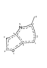 Cc1ccc2occc2n1